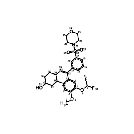 COc1cc2c(cc1OC(F)F)C(c1cccc(S(=O)(=O)N3CCOCC3)c1)=NC1CCC(O)CC21